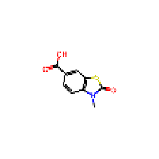 Cn1c(=O)sc2cc(C(=O)O)ccc21